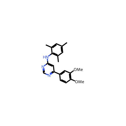 COc1ccc(-c2cc(Nc3c(C)cc(C)cc3C)ncn2)cc1OC